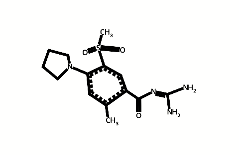 Cc1cc(N2CCCC2)c(S(C)(=O)=O)cc1C(=O)N=C(N)N